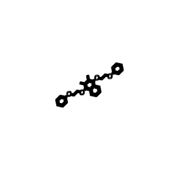 Cc1c(C)c(OCCOc2ccccc2)c2ccccc2c1OCCOc1ccccc1